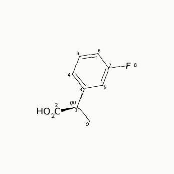 C[C@@H](C(=O)O)c1cccc(F)c1